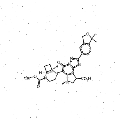 C[C@@H]1CC(C(=O)O)n2c1c(N1CCN(C(=O)OC(C)(C)C)[C@H]3CC[C@@H]31)c(=O)n1nc(-c3ccc4c(c3)COC4(C)C)nc21